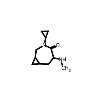 CNC1CC2CC2CN(C2CC2)C1=O